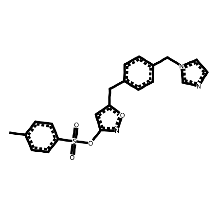 Cc1ccc(S(=O)(=O)Oc2cc(Cc3ccc(Cn4ccnc4)cc3)on2)cc1